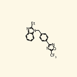 CCc1nc2ccccc2n1Cc1ccc(-c2noc(C(F)(F)F)n2)cc1